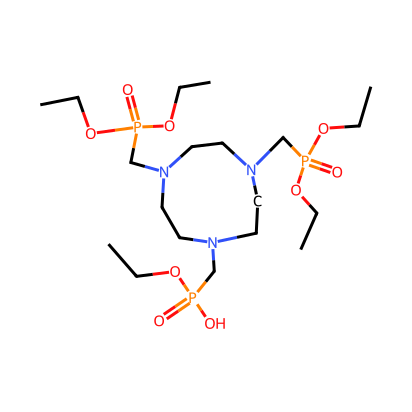 CCOP(=O)(O)CN1CCN(CP(=O)(OCC)OCC)CCN(CP(=O)(OCC)OCC)CC1